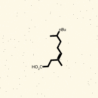 CCCCC(C)CCC=C(C)CCC(=O)O